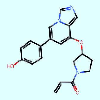 C=CC(=O)N1CCC(Oc2cc(-c3ccc(O)cc3)cn3cncc23)C1